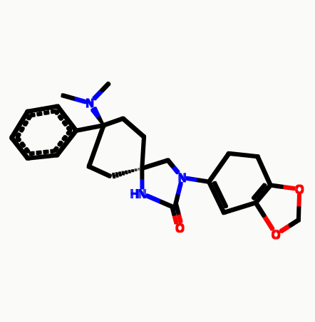 CN(C)[C@]1(c2ccccc2)CC[C@]2(CC1)CN(C1=CC3=C(CC1)OCO3)C(=O)N2